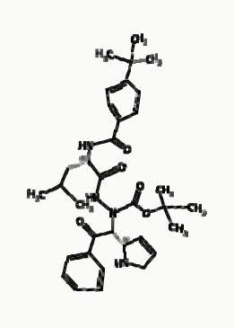 CC(C)C[C@H](NC(=O)c1ccc(C(C)(C)C)cc1)C(=O)NN(C(=O)OC(C)(C)C)C(C(=O)c1ccccc1)[C@@H]1C=CCN1